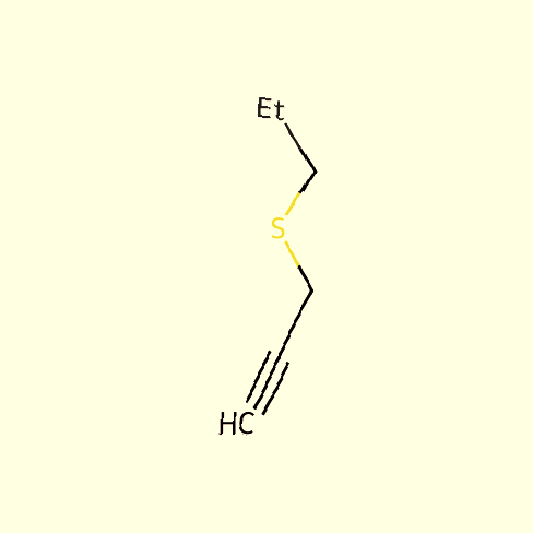 C#CCSCC[CH2]